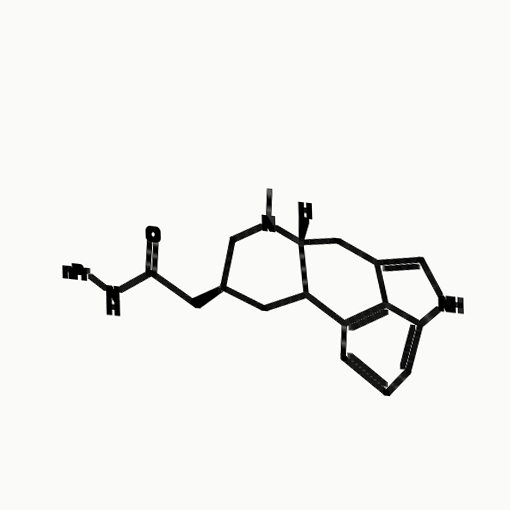 CCCNC(=O)C[C@@H]1CC2c3cccc4[nH]cc(c34)C[C@H]2N(C)C1